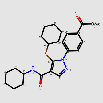 COC(=O)c1ccc(-n2ncc(C(=O)NC3CCCCC3)c2SC2CCCCC2)cc1